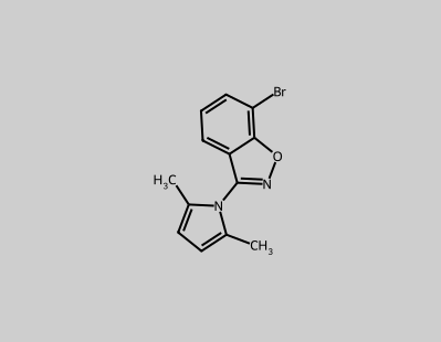 Cc1ccc(C)n1-c1noc2c(Br)cccc12